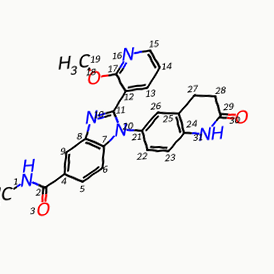 CNC(=O)c1ccc2c(c1)nc(-c1cccnc1OC)n2-c1ccc2c(c1)CCC(=O)N2